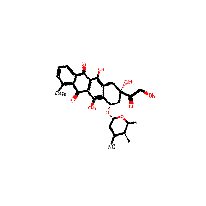 COc1cccc2c1C(=O)c1c(O)c3c(c(O)c1C2=O)C[C@@](O)(C(=O)CO)C[C@@H]3O[C@H]1CC(N=O)[C@H](C)C(C)O1